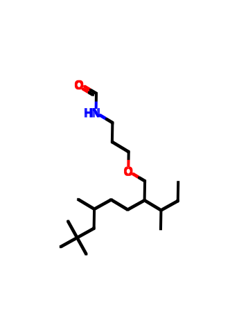 CCC(C)C(CCC(C)CC(C)(C)C)COCCCNC=O